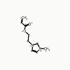 C=CC(=O)OCCN1C=CN(C)C1